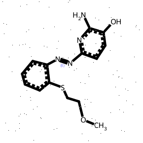 COCCSc1ccccc1/N=N/c1ccc(O)c(N)n1